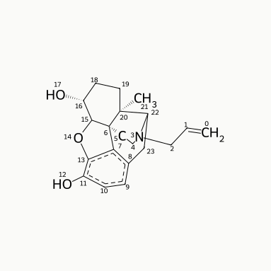 C=CCN1CC[C@]23c4c5ccc(O)c4OC2[C@H](O)CC[C@@]3(C)C1C5